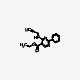 C#CCNc1nc(-c2ccccc2)ncc1C(=O)OCC